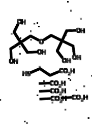 CC(=O)O.CC(=O)O.CC(=O)O.CC(=O)O.O=C(O)CCS.OCC(CO)(CO)COCC(CO)(CO)CO